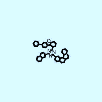 c1ccc(-c2ccc3c(c2)oc2cccc(-c4nc(-c5ccc6ccccc6c5)nc(-c5ccc6ccc7ccc8ccccc8c7c6c5)n4)c23)cc1